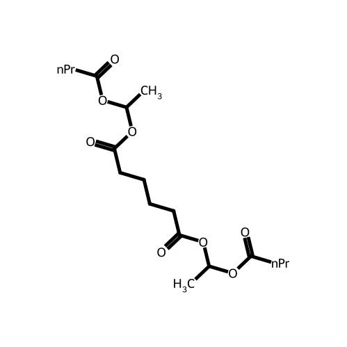 CCCC(=O)OC(C)OC(=O)CCCCC(=O)OC(C)OC(=O)CCC